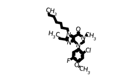 CCCCCCCn1c(CC)nc2c1C(=O)N(C)CN2c1cc(F)c(OC)cc1Cl